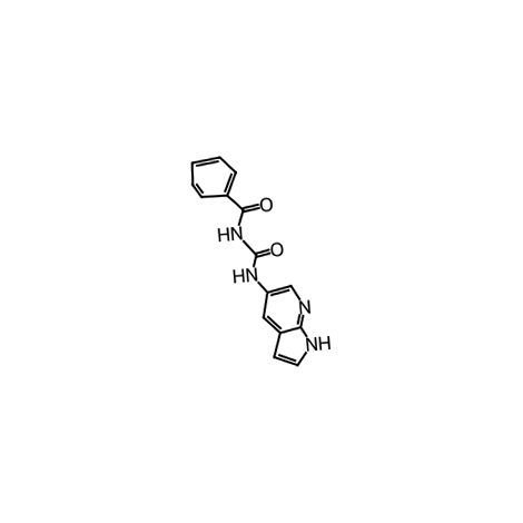 O=C(NC(=O)c1ccccc1)Nc1cnc2[nH]ccc2c1